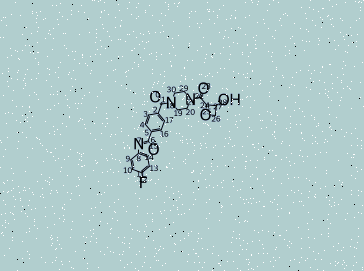 O=C(c1ccc(-c2nc3ccc(F)cc3o2)cc1)N1CCN(C(=O)C2OCC2O)CC1